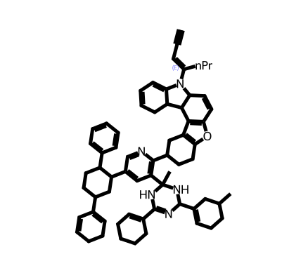 C#C/C=C(\CCC)N1C2=CC=CCC2C2c3c(oc4c3CC(c3ncc(C5CC(C6=CCCC=C6)CCC5c5ccccc5)cc3C3(C)NC(C5=CCCCC5)=NC(C5=CCCC(C)C5)N3)CC4)C=CC21